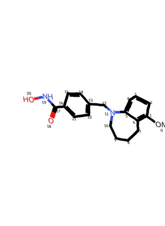 COc1cccc2c1CCCCN2Cc1ccc(C(=O)NO)cc1